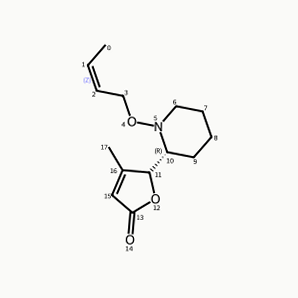 C/C=C\CON1CCCC[C@@H]1C1OC(=O)C=C1C